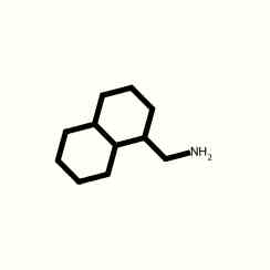 NCC1CCCC2CCCCC12